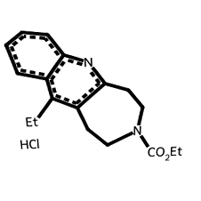 CCOC(=O)N1CCc2nc3ccccc3c(CC)c2CC1.Cl